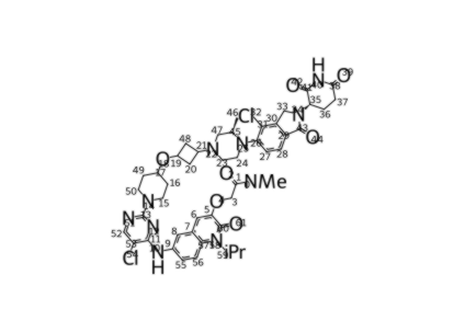 CNC(=O)COc1cc2cc(Nc3nc(N4CCC(OC5CC(N6CCN(c7ccc8c(c7Cl)CN([C@@H]7CCC(=O)NC7=O)C8=O)[C@H](C)C6)C5)CC4)ncc3Cl)ccc2n(C(C)C)c1=O